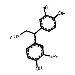 CCCCCCCCCCCC(c1ccc(O)c(CCC)c1)c1ccc(O)c(CCC)c1